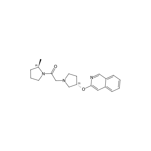 C[C@@H]1CCCN1C(=O)CN1CC[C@H](Oc2cc3ccccc3cn2)C1